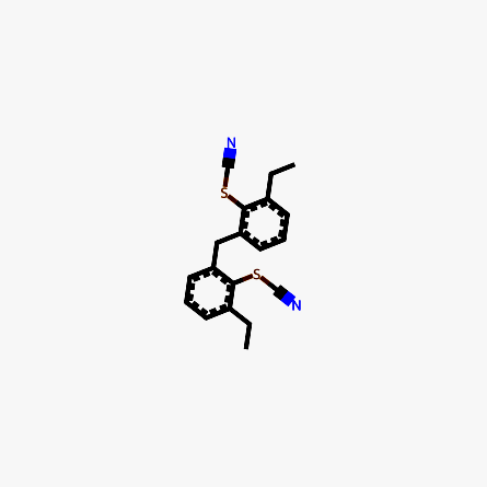 CCc1cccc(Cc2cccc(CC)c2SC#N)c1SC#N